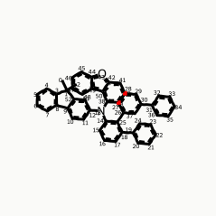 CC1(C)c2ccccc2-c2ccc(N(c3cccc(-c4ccccc4)c3-c3cccc(-c4ccccc4)c3)c3cccc4oc5ccccc5c34)cc21